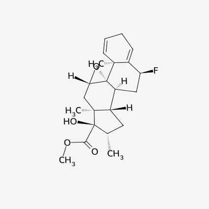 COC(=O)[C@@]1(O)[C@@H](C)C[C@H]2[C@@H]3C[C@H](F)C4=CCC=C[C@]4(C)[C@@]34O[C@H]4C[C@@]21C